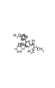 CCC(CC)Nc1cnc(NC2CCCCC2)c(-c2nc(C)no2)c1